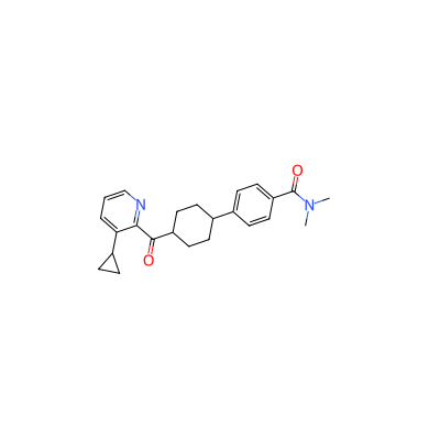 CN(C)C(=O)c1ccc(C2CCC(C(=O)c3ncccc3C3CC3)CC2)cc1